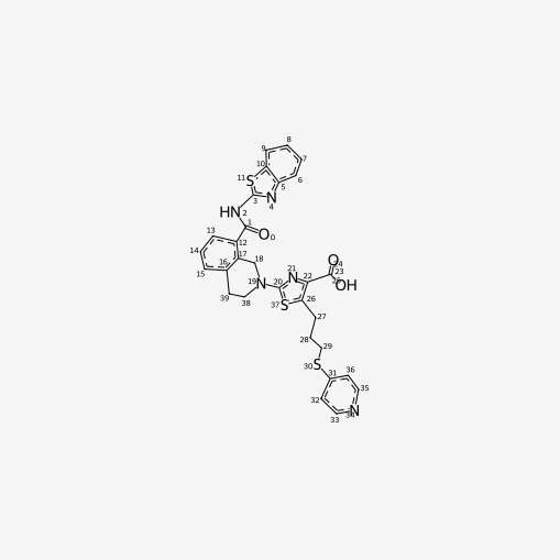 O=C(Nc1nc2ccccc2s1)c1cccc2c1CN(c1nc(C(=O)O)c(CCCSc3ccncc3)s1)CC2